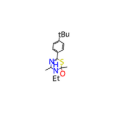 CCOC1(C)NC(C)N=C(c2ccc(C(C)(C)C)cc2)S1